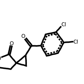 O=C(c1ccc(Cl)c(Cl)c1)C1CC12CCOC2=O